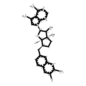 Cc1cn([C@@H]2O[C@@H]3[C@H](Cc4ccc5cc(Cl)c(N)nc5c4)CC[C@]3(O)C2O)c2ncnc(N)c12